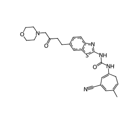 CC1=CCC(NC(=O)Nc2nc3ccc(CCC(=O)CN4CCOCC4)cc3s2)=CC(C#N)=C1